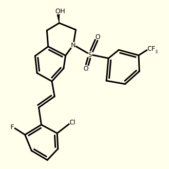 O=S(=O)(c1cccc(C(F)(F)F)c1)N1C[C@H](O)Cc2ccc(/C=C/c3c(F)cccc3Cl)cc21